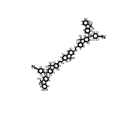 CC1(C)c2cc(/C=C/c3ccc4c(c3)C(C)(C)c3cc(N(c5ccc(C#N)cc5)c5ccc6c(c5)C(C)(C)c5ccccc5-6)ccc3-4)ccc2-c2ccc(/C=C/c3ccc4c(c3)C(C)(C)c3cc(N(c5ccc(C#N)cc5)c5ccc6c(c5)C(C)(C)c5ccccc5-6)ccc3-4)cc21